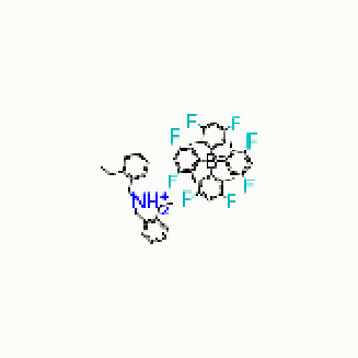 CCc1ccccc1C[NH2+]Cc1ccccc1CC.Cc1c(F)cc(F)cc1[B-](c1cc(F)cc(F)c1C)(c1cc(F)cc(F)c1C)c1cc(F)cc(F)c1C